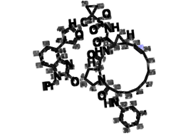 CC(C)n1c(O[C@@H]2C[C@H]3C(=O)N[C@]4(C(=O)NS(=O)(=O)C5(C)CC5)C[C@H]4/C=C\CCCCC[C@H](Nc4ccccc4)C(=O)N3C2)nc2c(-c3ccoc3)cccc21